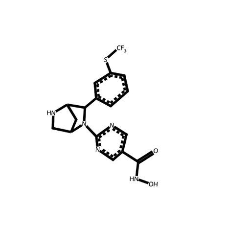 O=C(NO)c1cnc(N2C3CNC(C3)C2c2cccc(SC(F)(F)F)c2)nc1